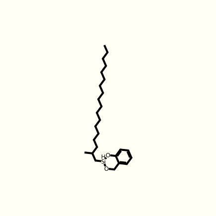 CCCCCCCCCCCCCCCCC(C)C[SiH]1OCc2ccccc2O1